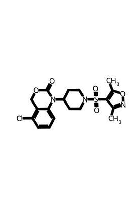 Cc1noc(C)c1S(=O)(=O)N1CCC(N2C(=O)OCc3c(Cl)cccc32)CC1